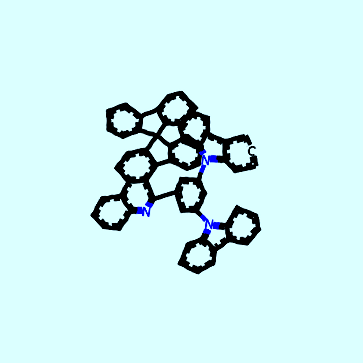 c1ccc2c(c1)-c1ccccc1C21c2ccccc2-c2c1ccc1c2c(-c2cc(-n3c4ccccc4c4ccccc43)cc(-n3c4ccccc4c4ccccc43)c2)nc2ccccc21